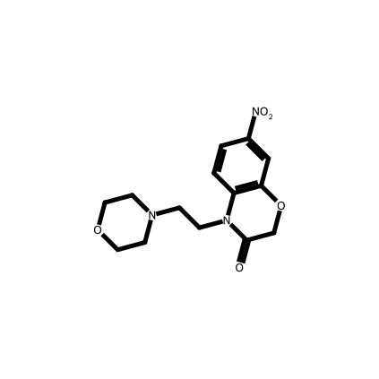 O=C1COc2cc([N+](=O)[O-])ccc2N1CCN1CCOCC1